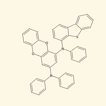 c1ccc(N(c2ccccc2)c2cc3c(c(N(c4ccccc4)c4cccc5c4sc4ccccc45)c2)Oc2ccccc2O3)cc1